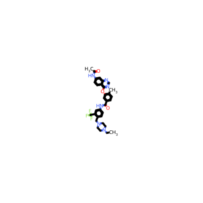 CCN1CCN(Cc2ccc(NC(=O)c3ccc(C)c(Oc4ncnc5cc(NC(C)=O)ccc45)c3)cc2C(F)(F)F)CC1